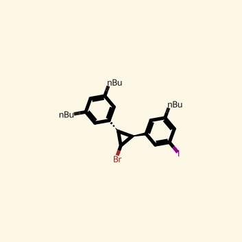 CCCCc1cc(I)cc([C@H]2C(Br)[C@@H]2c2cc(CCCC)cc(CCCC)c2)c1